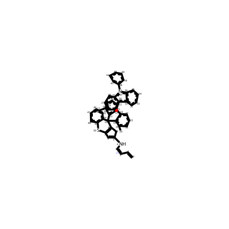 C=C/C=C\NC1=CC2=C(C1)C(c1ccccc1C(C)CC)(c1c(C)cccc1-c1cccc3c1c1ccccc1n3-c1ccccc1)c1ccccc1S2